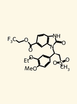 CCOc1cc([C@H](CS(C)(=O)=O)n2c(=O)[nH]c3ccc(C(=O)OCC(F)(F)F)cc32)ccc1OC